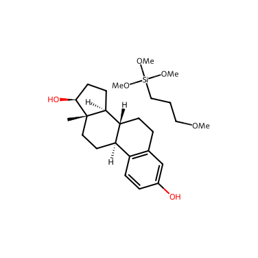 COCCC[Si](OC)(OC)OC.C[C@]12CC[C@@H]3c4ccc(O)cc4CC[C@H]3[C@@H]1CC[C@@H]2O